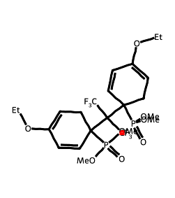 CCOC1=CCC(C(C(F)(F)F)(C(F)(F)F)C2(P(=O)(OC)OC)C=CC(OCC)=CC2)(P(=O)(OC)OC)C=C1